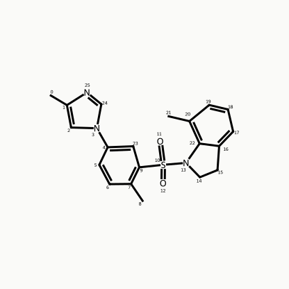 Cc1cn(-c2ccc(C)c(S(=O)(=O)N3CCc4cccc(C)c43)c2)cn1